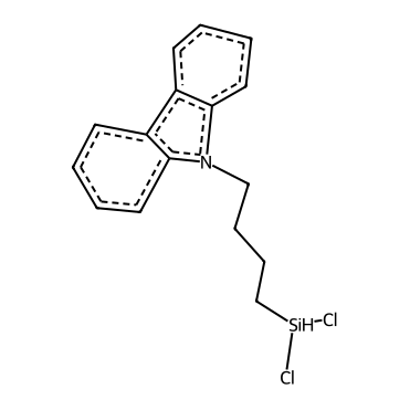 Cl[SiH](Cl)CCCCn1c2ccccc2c2ccccc21